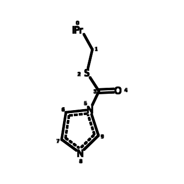 CC(C)CSC(=O)n1ccnc1